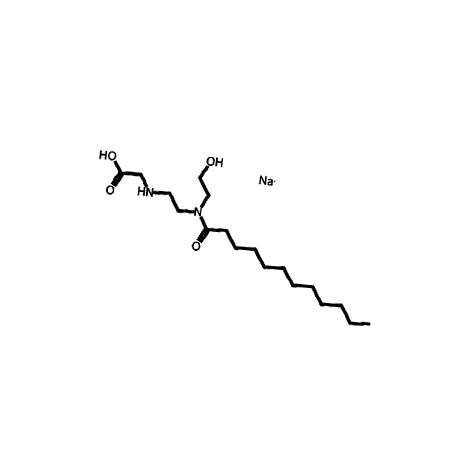 CCCCCCCCCCCC(=O)N(CCO)CCNCC(=O)O.[Na]